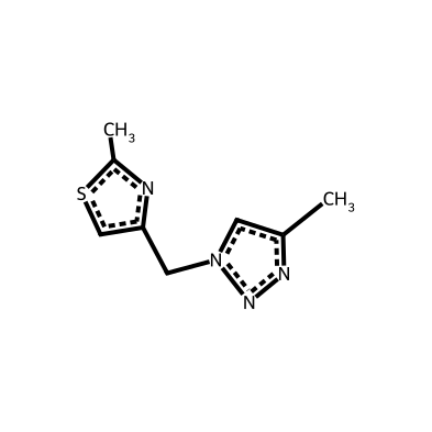 Cc1cn(Cc2csc(C)n2)nn1